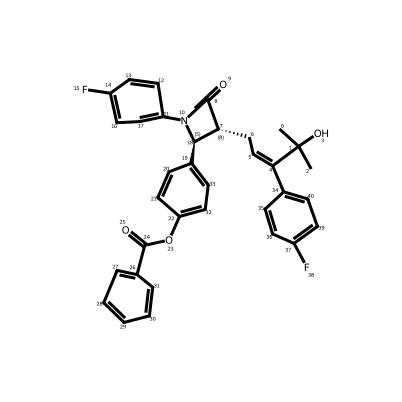 CC(C)(O)C(=CC[C@H]1C(=O)N(c2ccc(F)cc2)[C@@H]1c1ccc(OC(=O)c2ccccc2)cc1)c1ccc(F)cc1